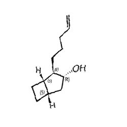 C=CCCC[C@@H]1[C@H]2CC[C@H]2C[C@H]1O